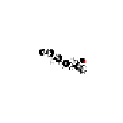 CC(C)n1cc(C(=O)Nc2ccc(Oc3ccnc(Nc4ccnc(N5CCCC5)n4)c3)c(F)c2)c(=O)n(C23CC(C2)C3)c1=O